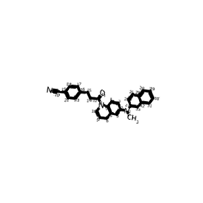 CN(c1ccc2c(c1)CCCN2C(=O)CCc1ccc(C#N)cc1)c1ccc2ccccc2c1